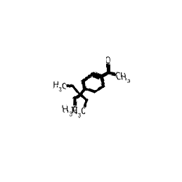 CCC(CC)(CC)C1CC=C(C(C)=O)CC1